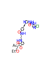 CCC(=O)CCC(C(C)=O)C1C(=O)c2cccc(NCCCCNC(=O)c3ccc(C#Cc4cc(NC(=O)Nc5ccnc(Cl)c5)ccn4)cc3)c2C1=O